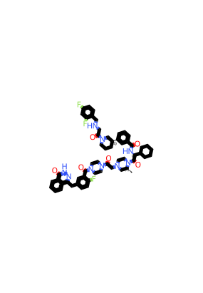 C[C@@H]1CN(CC(=O)N2CCN(C(=O)c3cc(Cc4n[nH]c(=O)c5ccccc45)ccc3F)CC2)CCN1C(=O)[C@H](NC(=O)c1cccc([C@@H]2CCCN(C(=O)CNCc3ccc(F)cc3F)C2)c1)C1CCCCC1